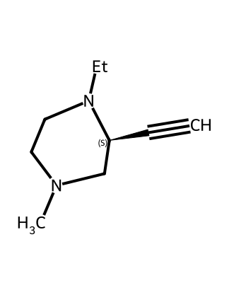 C#C[C@H]1CN(C)CCN1CC